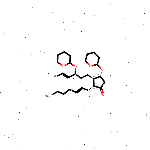 CCCC=CC(CC[C@H]1[C@H](OC2CCCCO2)CC(=O)[C@@H]1CC=CCCCC(=O)O)OC1CCCCO1